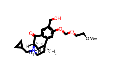 COCCOCOc1cc2c(cc1CO)C(=O)[C@@H]1[C@H](C)[C@]2(C)CCN1CC1CC1